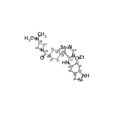 CCOc1cc2[nH]ncc2cc1Nc1ncnc2sc3c(c12)CC[C@H](C(=O)N1CC(N(C)C)C1)C3